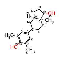 Cc1cc(C2CC[C@@]3(C)[C@H](CC[C@@H]3O)C2)cc(C)c1O